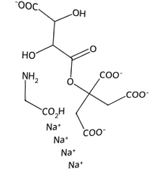 NCC(=O)O.O=C([O-])CC(CC(=O)[O-])(OC(=O)C(O)C(O)C(=O)[O-])C(=O)[O-].[Na+].[Na+].[Na+].[Na+]